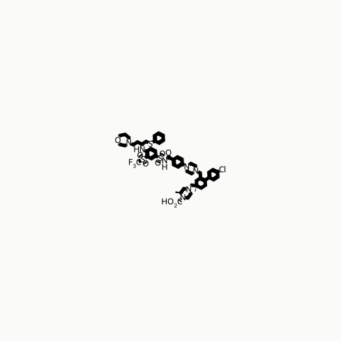 C[C@H]1CN(C[C@]2(C)CCC(c3ccc(Cl)cc3)=C(CN3CCN(c4ccc(C(=O)NS(=O)(=O)c5ccc(NC(CCN6CCCOCC6)CSc6ccccc6)c(S(=O)(=O)C(F)(F)F)c5)cc4)CC3)C2)CCN1C(=O)O